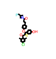 Cc1cc(Cl)cc(C)c1C(=O)c1sc2cc(O)ccc2c1Oc1ccc(/C=C/C(=O)N2CC(CF)C2)cc1